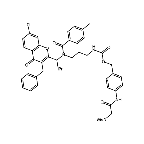 CNCC(=O)Nc1ccc(COC(=O)NCCCN(C(=O)c2ccc(C)cc2)C(c2oc3cc(Cl)ccc3c(=O)c2Cc2ccccc2)C(C)C)cc1